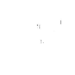 Cc1cccn2c(=O)c(C=O)cnc12